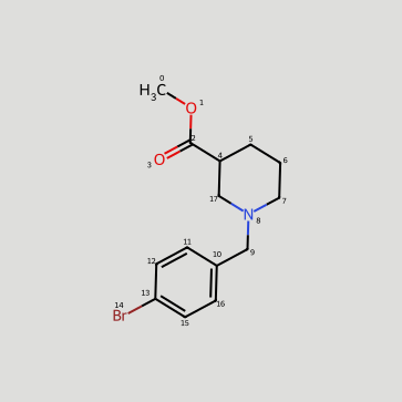 COC(=O)C1CCCN(Cc2ccc(Br)cc2)C1